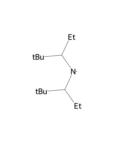 CCC([N]C(CC)C(C)(C)C)C(C)(C)C